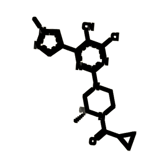 C[C@@H]1CN(c2nc(Cl)c(C#N)c(-c3cnn(C)c3)n2)CCN1C(=O)C1CC1